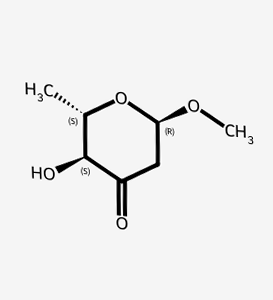 CO[C@H]1CC(=O)[C@@H](O)[C@H](C)O1